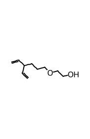 C=CC(C=C)CCCOCCO